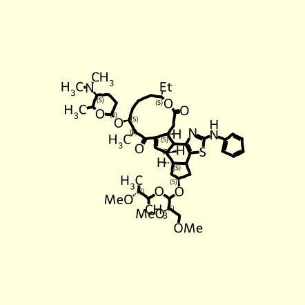 CC[C@H]1CCC[C@H](O[C@H]2CC[C@H](N(C)C)C(C)O2)[C@@H](C)C(=O)C2=C[C@@H]3C(c4nc(Nc5ccccc5)sc4C4C[C@@H](OC(OC(C)[C@@H](C)OC)[C@H](COC)OC)C[C@H]43)[C@@H]2CC(=O)O1